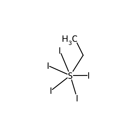 CCS(I)(I)(I)(I)I